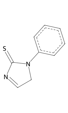 S=C1N=CCN1c1ccccc1